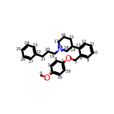 COc1ccc(OCc2ccccc2C2CCCN(CCCc3ccccc3)C2)cc1